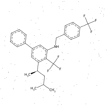 CC(C)C[C@@H](C)c1cc(-c2ccccc2)cc(NCc2ccc(C(F)(F)F)cc2)c1C(F)(F)F